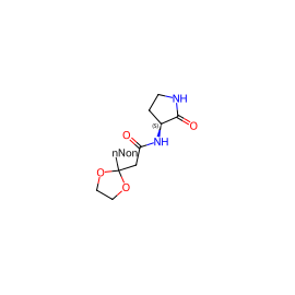 CCCCCCCCCC1(CC(=O)N[C@H]2CCNC2=O)OCCO1